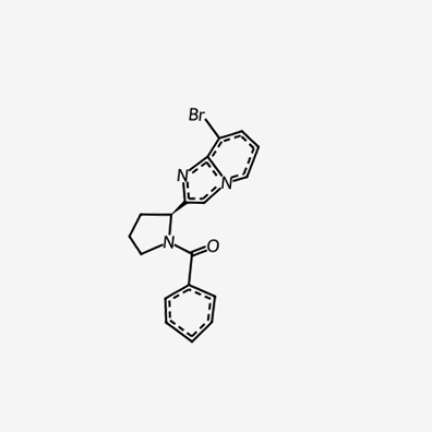 O=C(c1ccccc1)N1CCC[C@H]1c1cn2cccc(Br)c2n1